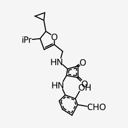 CC(C)C1C=C(CNc2c(Nc3cccc(C=O)c3O)c(=O)c2=O)OC1C1CC1